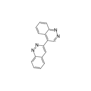 [c]1nnc2ccccc2c1-c1cc2ccccc2nn1